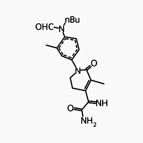 CCCCN(C=O)c1ccc(N2CCC(C(=N)C(N)=O)=C(C)C2=O)cc1C